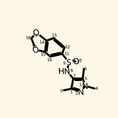 Cc1nn(C)c(C)c1N[S+]([O-])c1ccc2c(c1)OCO2